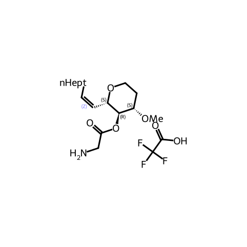 CCCCCCC/C=C\[C@@H]1OCC[C@H](OC)[C@H]1OC(=O)CN.O=C(O)C(F)(F)F